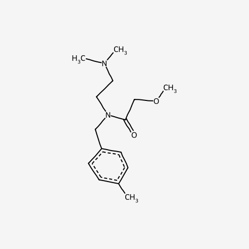 COCC(=O)N(CCN(C)C)Cc1ccc(C)cc1